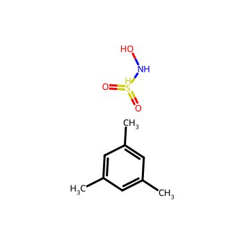 Cc1cc(C)cc(C)c1.O=[SH](=O)NO